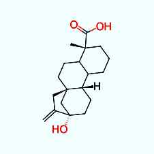 C=C1C[C@@]23CCC4C(CCC[C@@]4(C)C(=O)O)[C@@H]2CC[C@]1(O)C3